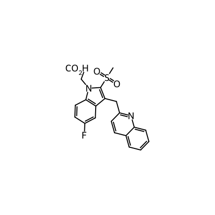 CS(=O)(=O)c1c(Cc2ccc3ccccc3n2)c2cc(F)ccc2n1CC(=O)O